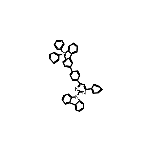 c1ccc(-c2cc(-c3ccc(-c4ccc5c(c4)-c4ccccc4[Si]5(c4ccccc4)c4ccccc4)cc3)nc(-n3c4ccccc4c4ccccc43)n2)cc1